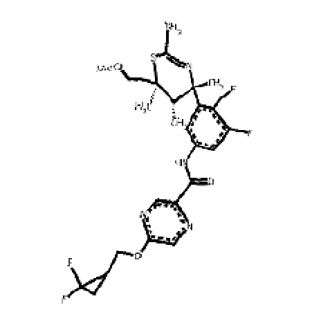 COC[C@@]1(C)SC(N)=N[C@](C)(c2cc(NC(=O)c3cnc(OCC4CC4(F)F)cn3)cc(F)c2F)[C@@H]1C